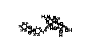 Nc1nc(C#CCC2CCN(C(=O)Oc3ccccc3)CC2)nc2c1ncn2[C@@H]1O[C@H](CO)C(O)C1O